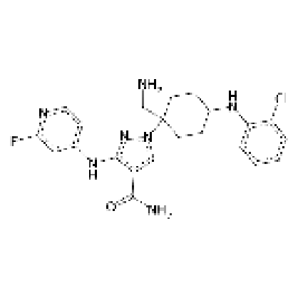 NCC1(n2cc(C(N)=O)c(Nc3ccnc(F)c3)n2)CCC(Nc2ccccc2Cl)CC1